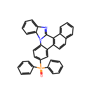 O=P(c1ccccc1)(c1ccccc1)c1ccc2c(c1)c1ccc3ccccc3c1c1nc3ccccc3n21